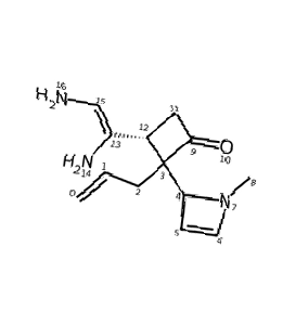 C=CCC1(C2C=CN2C)C(=O)C[C@H]1/C(N)=C/N